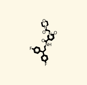 O=C(NCCC(c1ccc(F)cc1)c1ccc(F)cc1)c1ccc(=O)n(CC(=O)N2CCOCC2)c1